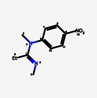 CCC(=NC)N(C)c1ccc([N+](=O)[O-])cc1